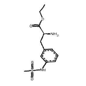 CCOC(=O)[C@@H](N)Cc1cccc(NS(C)(=O)=O)c1